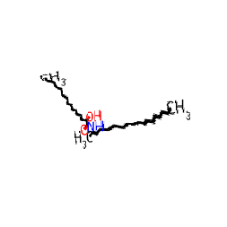 CCCCCCCCCCCCCCCCC(C)NC(=O)C(O)CCCCCCCCCCCCCC